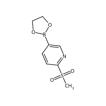 CS(=O)(=O)c1ccc(B2OCCO2)cn1